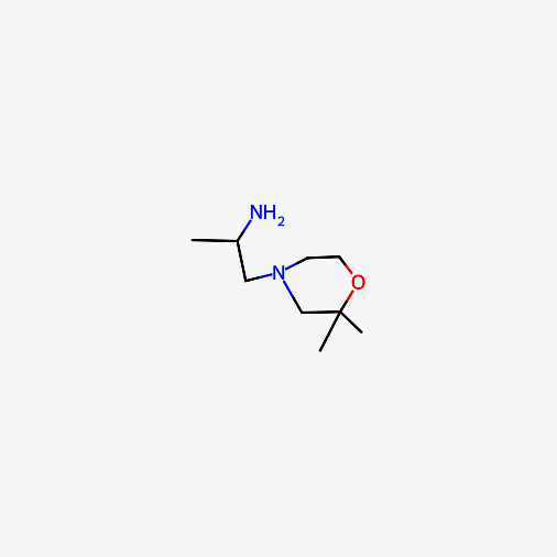 CC(N)CN1CCOC(C)(C)C1